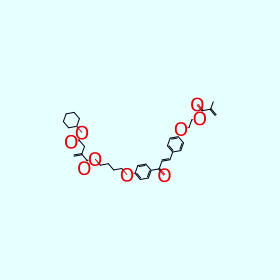 C=C(C)C(=O)OCCOc1ccc(/C=C/C(=O)c2ccc(OCCCCOC(=O)C(=C)CC(=O)OC3CCCCC3)cc2)cc1